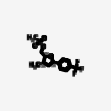 C[C@H]1C[C@H](c2ccc(C(F)(F)F)cc2)O[C@@H]1COS(C)(=O)=O